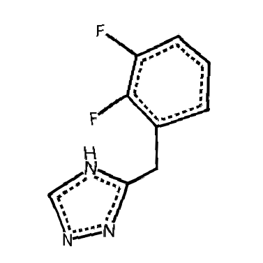 Fc1cccc(Cc2nnc[nH]2)c1F